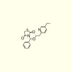 CCc1ccc(CCOC(c2ccccc2)N2C(=O)CSC2=O)nc1